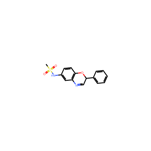 CS(=O)(=O)Nc1ccc2c(c1)N=CC(c1ccccc1)O2